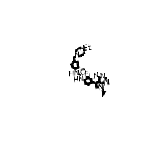 CCN1CCN(Cc2ccc(NC(=O)Nc3ccc(-c4cn(C5CC5)c5ncnc(N)c45)cc3F)cc2)CC1